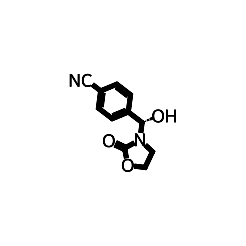 N#Cc1ccc([C@H](O)N2CCOC2=O)cc1